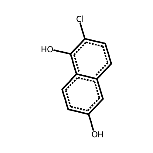 Oc1ccc2c(O)c(Cl)ccc2c1